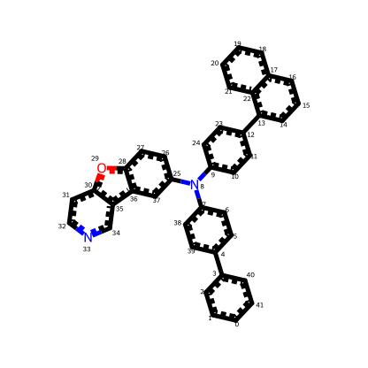 c1ccc(-c2ccc(N(c3ccc(-c4cccc5ccccc45)cc3)c3ccc4oc5ccncc5c4c3)cc2)cc1